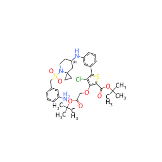 CC(C)(C)OC(=O)COc1c(C(=O)OC(C)(C)C)sc(-c2cccc(N[C@@H]3CCN(S(=O)(=O)Cc4cccc(N)c4)C4(CC4)C3)c2)c1Cl